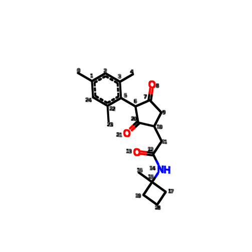 Cc1cc(C)c(C2C(=O)CC(CC(=O)NC3(C)CCC3)C2=O)c(C)c1